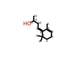 CC1=CCCC(C)(C)C1=CCC(C)O